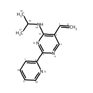 C=Cc1cnc(-c2ccccn2)nc1NC(C)C